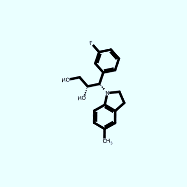 Cc1ccc2c(c1)CCN2[C@@H](c1cccc(F)c1)[C@H](O)CO